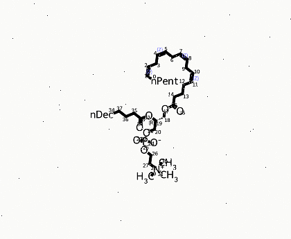 CCCCC/C=C\C/C=C\C/C=C\C/C=C\CCCC(=O)OC[C@H](COP(=O)([O-])OCC[N+](C)(C)C)OC(=O)CCCCCCCCCCCCC